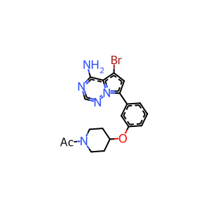 CC(=O)N1CCC(Oc2cccc(-c3cc(Br)c4c(N)ncnn34)c2)CC1